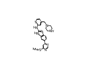 CSc1cc(-c2ccc3nc(Nc4cc(CN5CCNCC5)ccn4)[nH]c3c2)ncn1